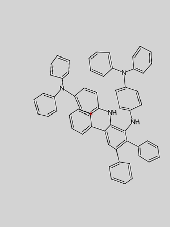 c1ccc(-c2cc(-c3ccccc3)c(-c3ccccc3)c(Nc3ccc(N(c4ccccc4)c4ccccc4)cc3)c2Nc2ccc(N(c3ccccc3)c3ccccc3)cc2)cc1